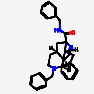 O=C(NCc1ccccc1)C12C[C@@H]3CCN(Cc4ccccc4)[C@@H]([C@@H]3C=N1)[C@H]2Cc1ccccc1